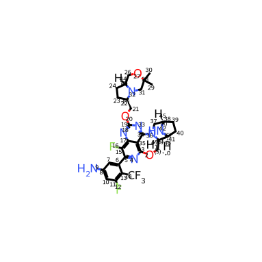 C[C@@H]1Oc2nc(-c3cc(N)cc(F)c3C(F)(F)F)c(F)c3nc(OC[C@H]4CC[C@@H]5COC(C)(C)CN45)nc(c23)N2C[C@H]3CC[C@H](N3)[C@@H]12